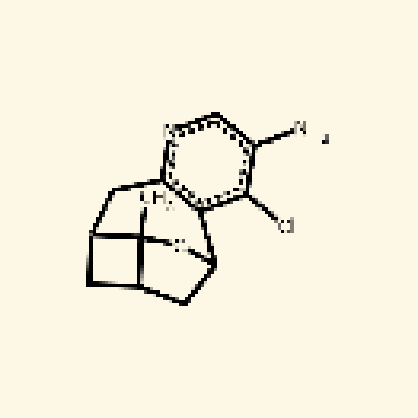 CC12CC3CC1CC2Cc1ncc(N)c(Cl)c13